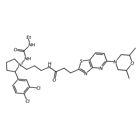 CCNC(=O)N[N+]1(CCCNC(=O)CCc2nc3nc(N4CC(C)OC(C)C4)ccc3s2)CCCC1c1ccc(Cl)c(Cl)c1